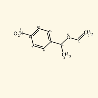 C=COC(C)c1ccc([N+](=O)[O-])cc1